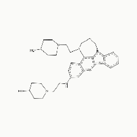 OC1CCN(CCNc2ccc3c4c5c(nc3c2)c2ccccc2n5CCCN4CCN2CCC(O)CC2)CC1